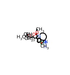 CCOC(=O)c1c(CCCO[Si](C)(C)C(C)(C)C)c2ccc(Cl)c3c2n1CCCCCCc1n[nH]c(CC)c1-3